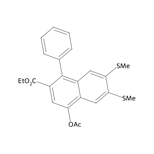 CCOC(=O)c1cc(OC(C)=O)c2cc(SC)c(SC)cc2c1-c1ccccc1